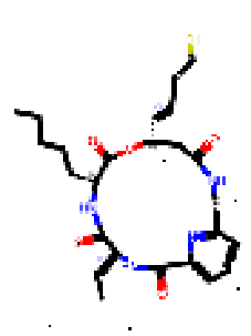 C/C=C1\NC(=O)c2cccc(n2)CNC(=O)C[C@@H](/C=C/CCS)OC(=O)[C@H](CCCCC)NC1=O